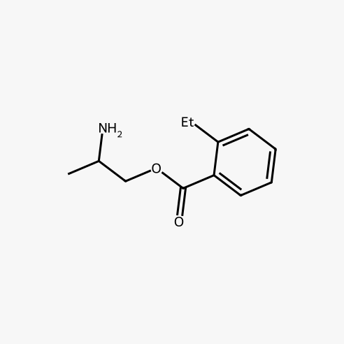 CCc1ccccc1C(=O)OCC(C)N